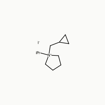 CC(C)[N+]1(CC2CC2)CCCC1.[I-]